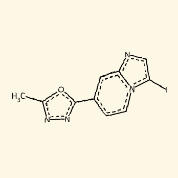 Cc1nnc(-c2ccn3c(I)cnc3c2)o1